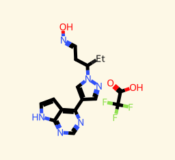 CCC(C/C=N/O)n1cc(-c2ncnc3[nH]ccc23)cn1.O=C(O)C(F)(F)F